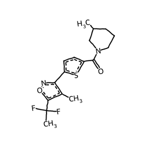 Cc1c(-c2ccc(C(=O)N3CCCC(C)C3)s2)noc1C(C)(F)F